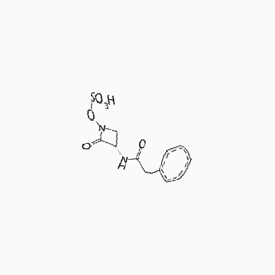 O=C(Cc1ccccc1)N[C@H]1CN(OS(=O)(=O)O)C1=O